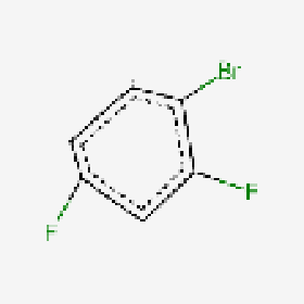 Fc1c[c]c(Br)c(F)c1